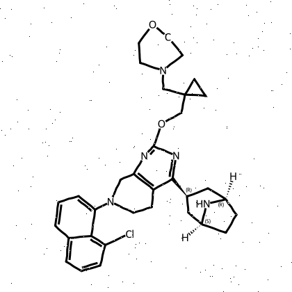 Clc1cccc2cccc(N3CCc4c(nc(OCC5(CN6CCOCC6)CC5)nc4[C@H]4C[C@H]5CC[C@@H](C4)N5)C3)c12